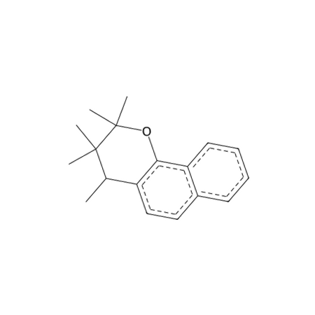 CC1c2ccc3ccccc3c2OC(C)(C)C1(C)C